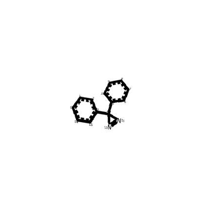 c1ccc(C2(c3ccccc3)N=N2)cc1